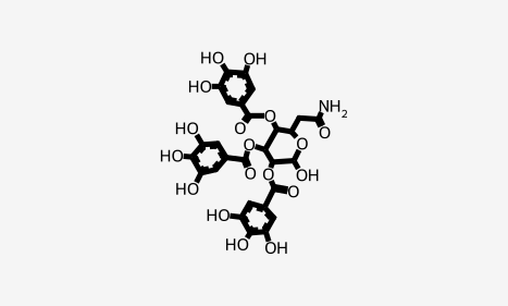 NC(=O)CC1OC(O)C(OC(=O)c2cc(O)c(O)c(O)c2)C(OC(=O)c2cc(O)c(O)c(O)c2)C1OC(=O)c1cc(O)c(O)c(O)c1